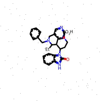 CCC(C1CN(C(=O)O)CCC1n1c(=O)[nH]c2ccccc21)N(Cc1ccccc1)Cc1cccnc1